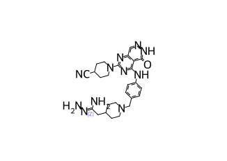 N#CC1CCN(c2nc(Nc3ccc(CN4CCC(C/C(N)=N/N)CC4)cc3)c3c(=O)[nH]ncc3n2)CC1